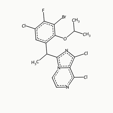 CC(C)Oc1c(C(C)c2nc(Cl)c3c(Cl)nccn23)cc(Cl)c(F)c1Br